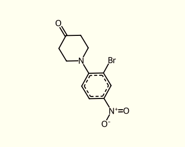 O=C1CCN(c2ccc([N+](=O)[O-])cc2Br)CC1